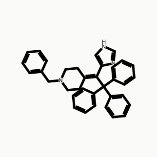 c1ccc(CN2CCC(=C(c3c[nH]cn3)C(c3ccccc3)(c3ccccc3)c3ccccc3)CC2)cc1